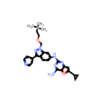 C[Si](C)(C)CCOCn1nc(-c2ccncc2)c2ccc(Nc3nc(N)c4oc(C5CC5)cc4n3)cc21